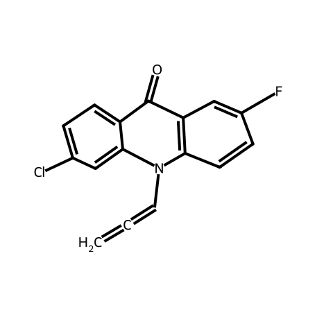 C=C=Cn1c2ccc(F)cc2c(=O)c2ccc(Cl)cc21